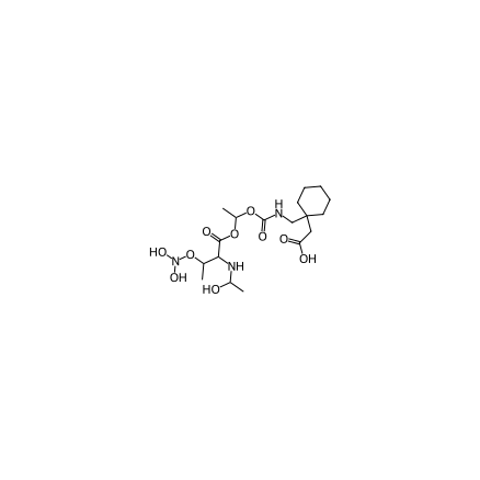 CC(O)NC(C(=O)OC(C)OC(=O)NCC1(CC(=O)O)CCCCC1)C(C)ON(O)O